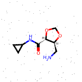 NC[C@@H]1OCO[C@H]1C(=O)NC1CC1